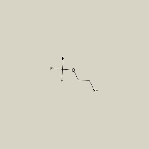 FC(F)(F)OCCS